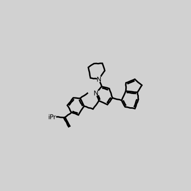 C=C(c1ccc(C)c(Cc2cc(-c3cccc4c3C=CC4)cc(N3CCCCC3)n2)c1)C(C)C